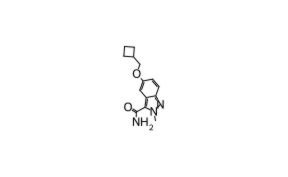 Cn1nc2ccc(OCC3CCC3)cc2c1C(N)=O